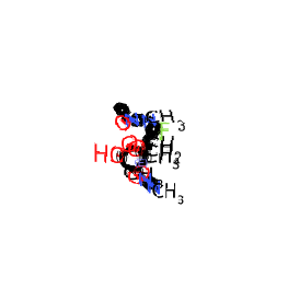 C=C(Cc1cc(F)cc(N(C)C2CCN(C(=O)c3ccccc3)CC2)c1)[C@H]1OC(=O)C[C@H](O)CC[C@H](C)[C@@H](OC(=O)N2CCN(C)CC2)/C=C/[C@@H]1C